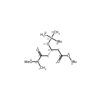 CON(C)C(=O)C[C@@H](CC(=O)OC(C)(C)C)O[Si](C)(C)C(C)(C)C